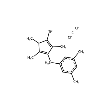 CC1=[C]([Ti+3])C(C)C(C)=C1[SiH2]c1cc(C)cc(C)c1.[Cl-].[Cl-].[Cl-]